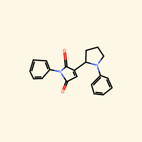 O=C1C=C(C2CCCN2c2ccccc2)C(=O)N1c1ccccc1